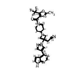 Cc1nc(C(=O)N2CCC(N3CC(CC#N)(n4cc(-c5ncnc6[nH]ccc56)cn4)C3)CC2)c(C(F)(F)F)o1